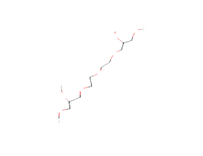 CC(C)OCC(COCCOCCOCC(COC(C)C)OC(C)C)OC(C)C